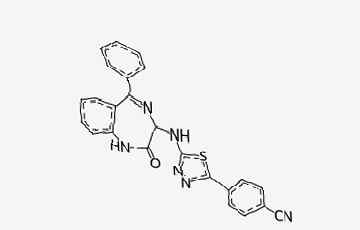 N#Cc1ccc(-c2nnc(NC3N=C(c4ccccc4)c4ccccc4NC3=O)s2)cc1